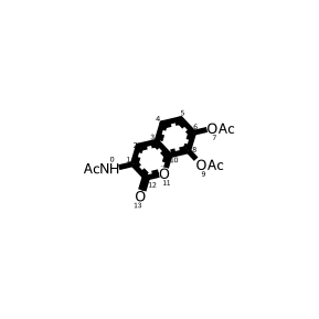 CC(=O)Nc1cc2ccc(OC(C)=O)c(OC(C)=O)c2oc1=O